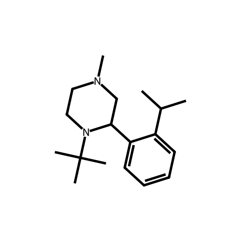 CC(C)c1ccccc1C1CN(C)CCN1C(C)(C)C